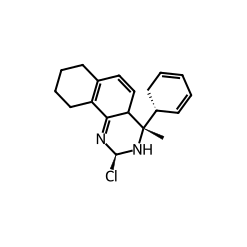 C[C@@]1([C@H]2C=CC=CC2)N[C@@H](Cl)N=C2C3=C(C=CC21)CCCC3